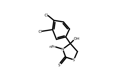 CCCN1C(=S)SCC1(O)c1ccc(Cl)c(Cl)c1